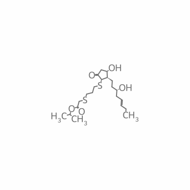 CC/C=C/C[C@@H](O)CC[C@@H]1[C@H](O)CC(=O)[C@@H]1SCCCSCC(=O)OC(C)C